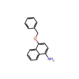 Nc1ccc(OCc2ccccc2)c2ccccc12